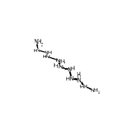 NNNNNNNNNNN